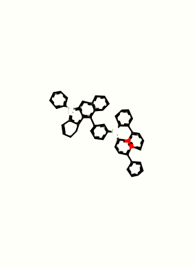 C1=Cc2c(c3c(-c4cccc(N(c5ccc(-c6ccccc6)cc5)c5ccccc5-c5ccccc5)c4)c4ccccc4cc3n2-c2ccccc2)CC1